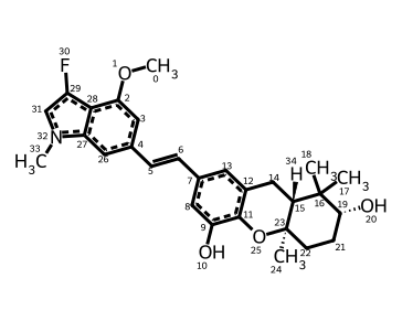 COc1cc(/C=C/c2cc(O)c3c(c2)C[C@@H]2C(C)(C)[C@H](O)CC[C@@]2(C)O3)cc2c1c(F)cn2C